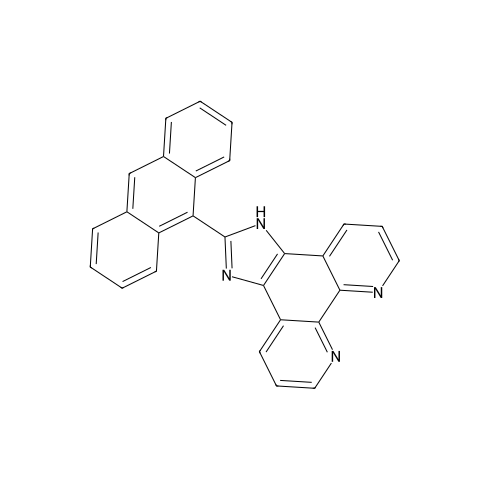 c1ccc2c(-c3nc4c5cccnc5c5ncccc5c4[nH]3)c3ccccc3cc2c1